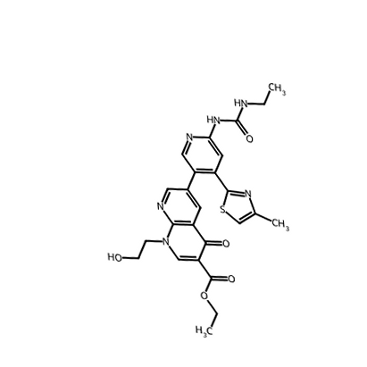 CCNC(=O)Nc1cc(-c2nc(C)cs2)c(-c2cnc3c(c2)c(=O)c(C(=O)OCC)cn3CCO)cn1